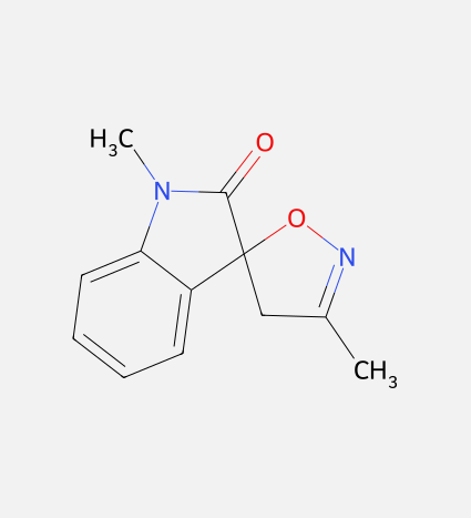 CC1=NOC2(C1)C(=O)N(C)c1ccccc12